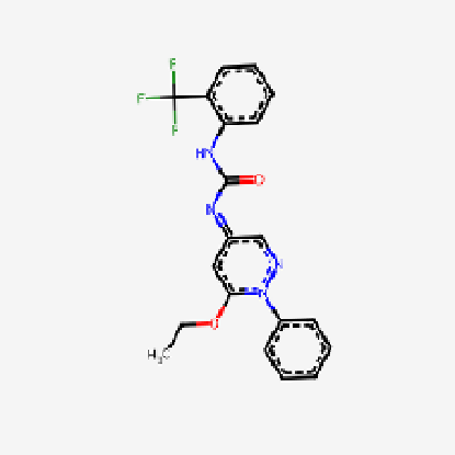 CCOc1cc(=NC(=O)Nc2ccccc2C(F)(F)F)cnn1-c1ccccc1